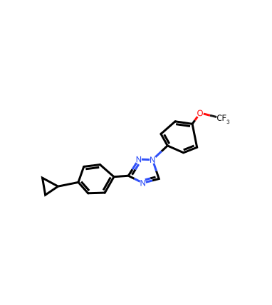 FC(F)(F)Oc1ccc(-n2cnc(-c3ccc(C4CC4)cc3)n2)cc1